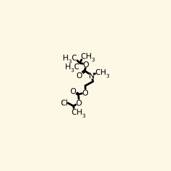 CC(Cl)OC(=O)OCCN(C)C(=O)OC(C)(C)C